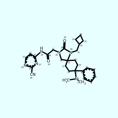 CN(C)C1(c2ccccc2)CCC2(CC1)CN(CC(=O)Nc1ccnc(C#N)n1)C(=O)N2CC1CCC1